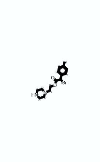 Cc1ccc(C(Br)C(=O)OCCN2CCNCC2)cc1